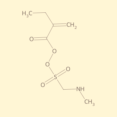 C=C(CC)C(=O)OOS(=O)(=O)CNC